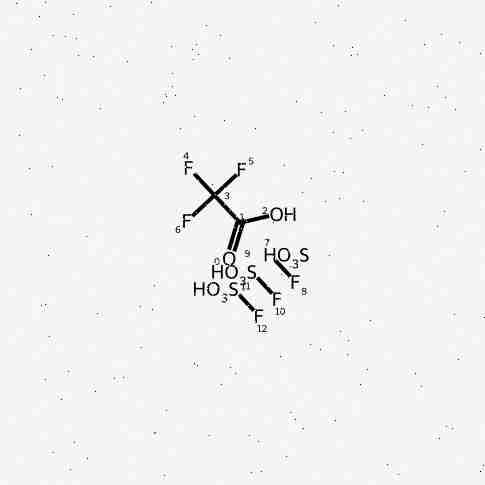 O=C(O)C(F)(F)F.O=S(=O)(O)F.O=S(=O)(O)F.O=S(=O)(O)F